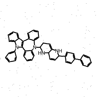 C1=CC(c2ccc(-c3ccccc3)cc2)NC2=CCC(N3c4ccccc4-c4c(n(-c5ccccc5)c5ccccc45)-c4ccccc43)NC12